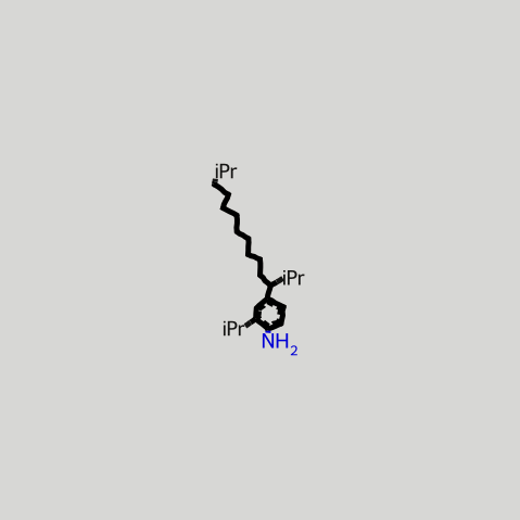 CC(C)CCCCCCCCCC(c1ccc(N)c(C(C)C)c1)C(C)C